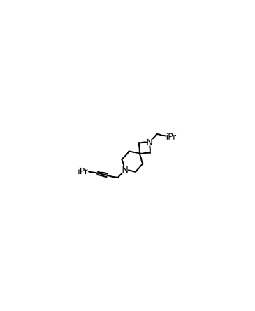 CC(C)C#CCN1CCC2(CC1)CN(CC(C)C)C2